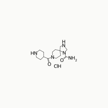 Cl.NC(=O)N1CNCC12CCN(C(=O)C1CCNCC1)CC2